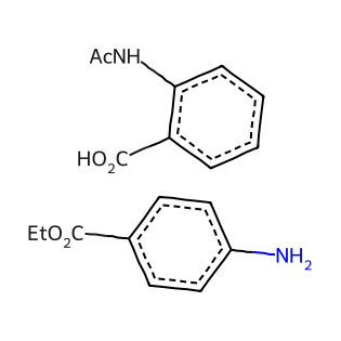 CC(=O)Nc1ccccc1C(=O)O.CCOC(=O)c1ccc(N)cc1